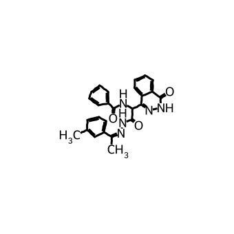 CC(=NNC(=O)C(NC(=O)c1ccccc1)c1n[nH]c(=O)c2ccccc12)c1cccc(C)c1